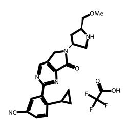 COC[C@@H]1C[C@@H](N2Cc3cnc(-c4cc(C#N)ccc4C4CC4)nc3C2=O)CN1.O=C(O)C(F)(F)F